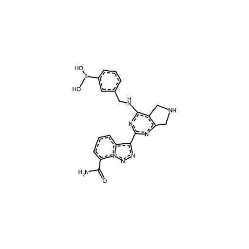 NC(=O)c1cccc2c(-c3nc4c(c(NCc5cccc(B(O)O)c5)n3)CNC4)nnn12